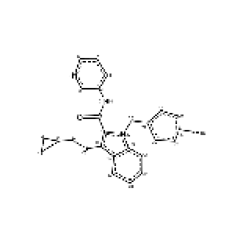 O=C(Nc1cccnc1)c1c(OCC2CC2)c2ccccc2n1Cc1ccc(F)cc1